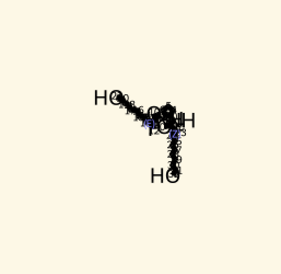 O=C(N[C@@H]1CCC[C@@H]1NC(=O)/C(F)=C\CCCCCCCO)/C(F)=C/CCCCCCCO